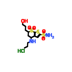 CCCNC1CC(CCCO)S(=O)(=O)c2sc(S(N)(=O)=O)cc21.Cl